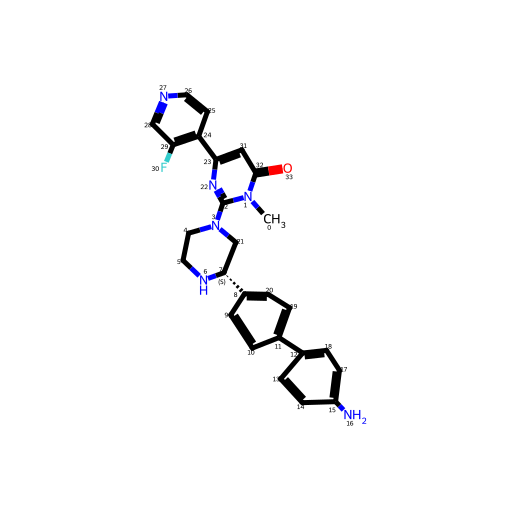 Cn1c(N2CCN[C@@H](c3ccc(-c4ccc(N)cc4)cc3)C2)nc(-c2ccncc2F)cc1=O